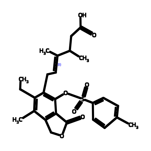 CCc1c(C)c2c(c(OS(=O)(=O)c3ccc(C)cc3)c1C/C=C(\C)C(C)CC(=O)O)C(=O)OC2